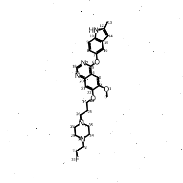 COc1cc2c(Oc3ccc4[nH]c(C)cc4c3)ncnc2cc1OCCCN1CCN(CCF)CC1